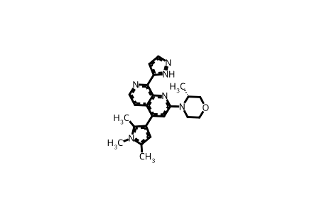 Cc1cc(-c2cc(N3CCOC[C@H]3C)nc3c(-c4ccn[nH]4)nccc23)c(C)n1C